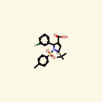 Cc1ccc(S(=O)(=O)N2C(c3cccc(F)c3)C(C(=O)O)=C[C@H]2C(C)(C)C)cc1